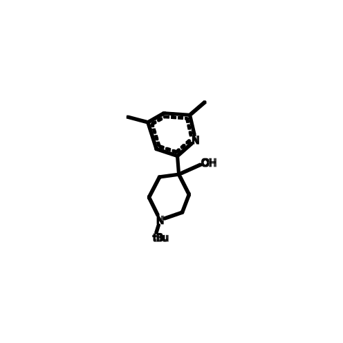 Cc1cc(C)nc(C2(O)CCN(C(C)(C)C)CC2)c1